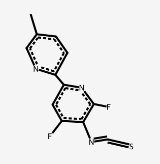 Cc1ccc(-c2cc(F)c(N=C=S)c(F)n2)nc1